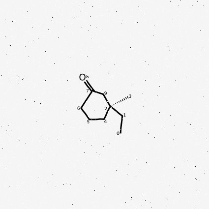 CC[C@@]1(C)CCCC(=O)C1